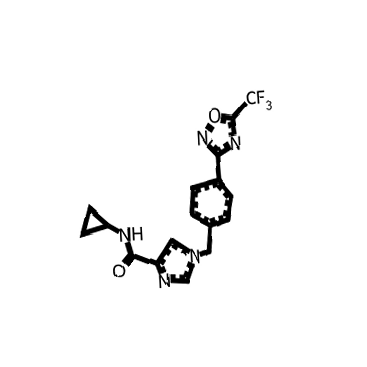 O=C(NC1CC1)c1cn(Cc2ccc(-c3noc(C(F)(F)F)n3)cc2)cn1